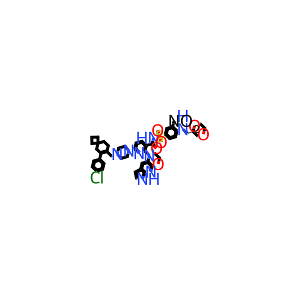 O=C(NS(=O)(=O)c1ccc(NC[C@H]2COCCO2)c([N+](=O)[O-])c1)c1ccc(N2CCN(CC3=C(c4ccc(Cl)cc4)CC4(CCC4)CC3)CC2)nc1N1CCOc2nc3[nH]ccc3cc21